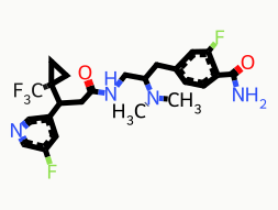 CN(C)C(CNC(=O)CC(c1cncc(F)c1)C1(C(F)(F)F)CC1)Cc1ccc(C(N)=O)c(F)c1